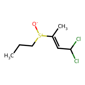 CCC[S+]([O-])C(C)=CC(Cl)Cl